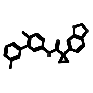 Cc1cccc(-c2cc(NC(=O)C3(c4ccc5c(c4)OCO5)CC3)ccc2C)c1